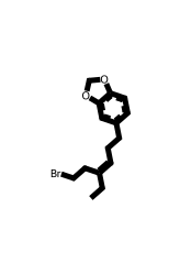 CCC(=CCCc1ccc2c(c1)OCO2)CCBr